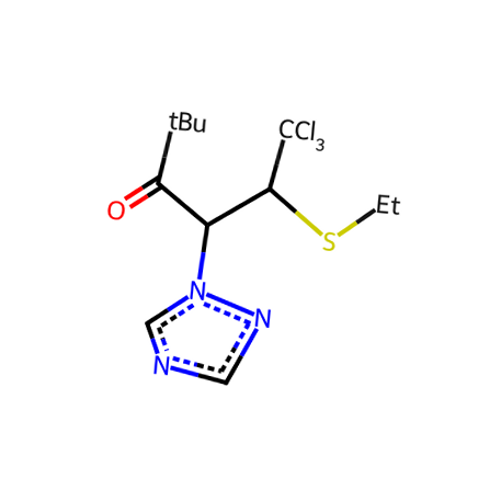 CCSC(C(C(=O)C(C)(C)C)n1cncn1)C(Cl)(Cl)Cl